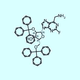 NCc1nc(F)nc2c1ncn2[C@@H]1O[C@H](COC(c2ccccc2)(c2ccccc2)c2ccccc2)[C@@H](O)[C@H]1OC(c1ccccc1)(c1ccccc1)c1ccccc1